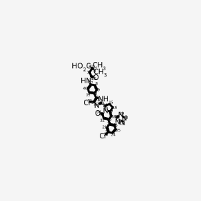 CC(C)(CC(=O)Nc1ccc(-c2[nH]c([C@@H]3CCc4cc(-c5cc(Cl)ccc5-n5cnnn5)cc(=O)n43)nc2Cl)cc1)C(=O)O